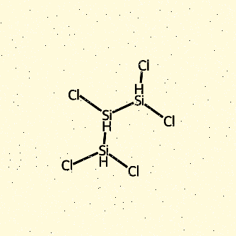 Cl[SiH](Cl)[SiH](Cl)[SiH](Cl)Cl